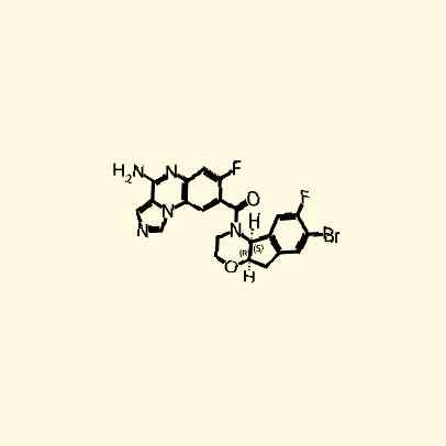 Nc1nc2cc(F)c(C(=O)N3CCO[C@@H]4Cc5cc(Br)c(F)cc5[C@@H]43)cc2n2cncc12